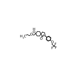 CCCOCC1(O)CCC2(CCN(c3ccc(OCC(F)(F)F)cc3)C2=O)CC1